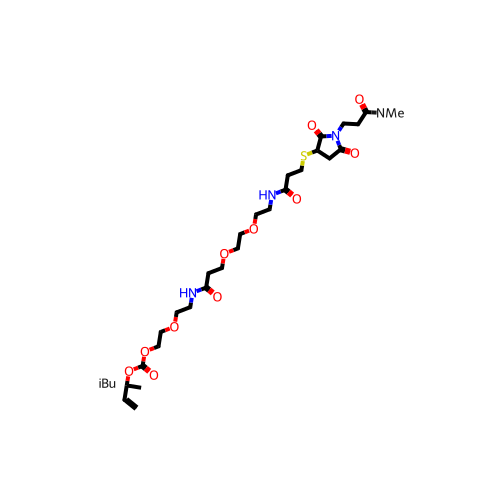 C=CC(C)(OC(=O)OCCOCCNC(=O)CCOCCOCCNC(=O)CCSC1CC(=O)N(CCC(=O)NC)C1=O)[C@H](C)CC